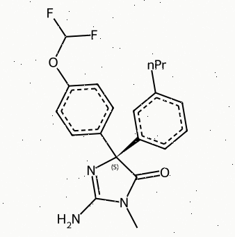 CCCc1cccc([C@]2(c3ccc(OC(F)F)cc3)N=C(N)N(C)C2=O)c1